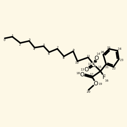 CCCCCCCCCCCCS(=O)(=O)C(F)(C(=O)OC)c1ccccc1